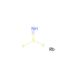 N=S(F)F.[Rb]